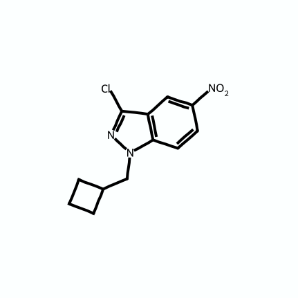 O=[N+]([O-])c1ccc2c(c1)c(Cl)nn2CC1CCC1